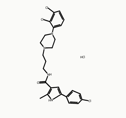 Cc1[nH]c(-c2ccc(Cl)cc2)cc1C(=O)NCCCN1CCN(c2cccc(Cl)c2Cl)CC1.Cl